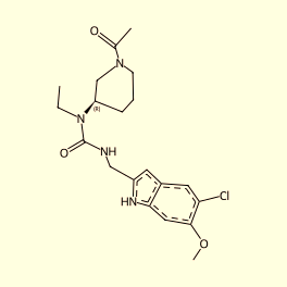 CCN(C(=O)NCc1cc2cc(Cl)c(OC)cc2[nH]1)[C@@H]1CCCN(C(C)=O)C1